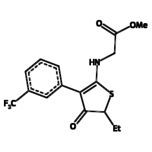 CCC1SC(NCC(=O)OC)=C(c2cccc(C(F)(F)F)c2)C1=O